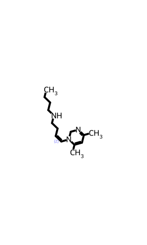 CCCCNCC/C=C\N1CN=C(C)C=C1C